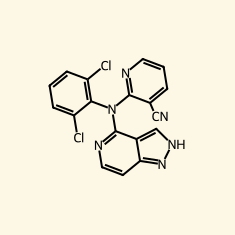 N#Cc1cccnc1N(c1c(Cl)cccc1Cl)c1nccc2n[nH]cc12